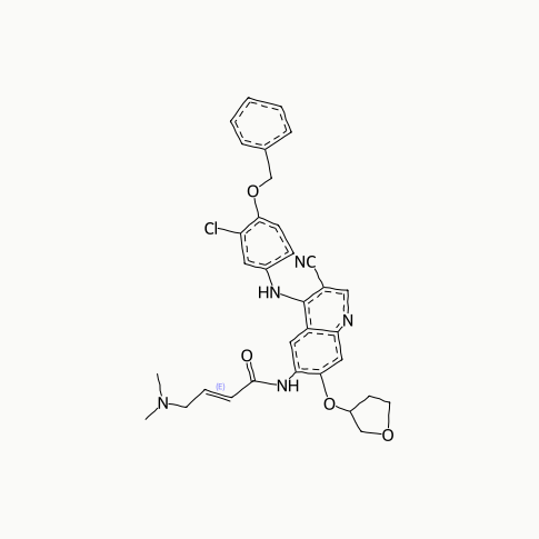 CN(C)C/C=C/C(=O)Nc1cc2c(Nc3ccc(OCc4ccccc4)c(Cl)c3)c(C#N)cnc2cc1OC1CCOC1